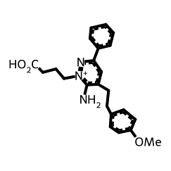 COc1ccc(CCc2cc(-c3ccccc3)n[n+](CCCC(=O)O)c2N)cc1